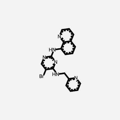 Brc1cnc(Nc2cccc3cccnc23)nc1NCc1ccccn1